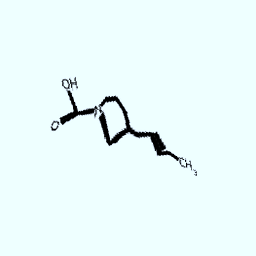 CC=CC1CN(C(=O)O)C1